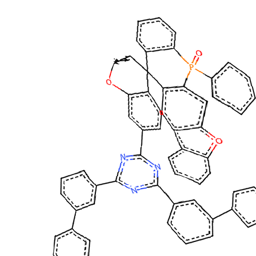 O=P1(c2ccccc2)c2ccccc2C2(c3ccccc3Oc3cc(-c4nc(-c5cccc(-c6ccccc6)c5)nc(-c5cccc(-c6ccccc6)c5)n4)ccc32)c2cc3c(cc21)oc1ccccc13